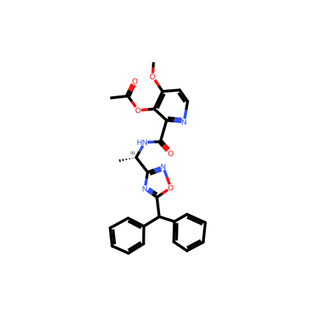 COc1ccnc(C(=O)N[C@@H](C)c2noc(C(c3ccccc3)c3ccccc3)n2)c1OC(C)=O